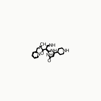 CN(Cc1ccccn1)C(=O)/C(C=N)=C1\NC(=O)C=C(C2CCNCC2)N1